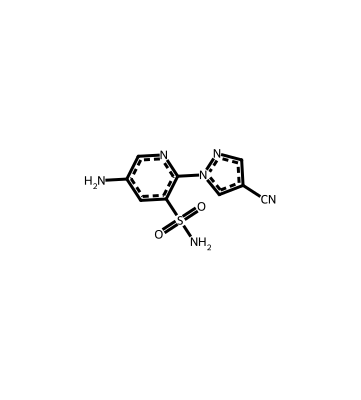 N#Cc1cnn(-c2ncc(N)cc2S(N)(=O)=O)c1